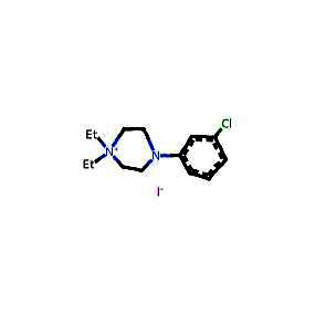 CC[N+]1(CC)CCN(c2cccc(Cl)c2)CC1.[I-]